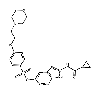 O=C(Nc1nc2cc(OS(=O)(=O)c3ccc(NCCN4CCOCC4)cc3)ccc2[nH]1)C1CC1